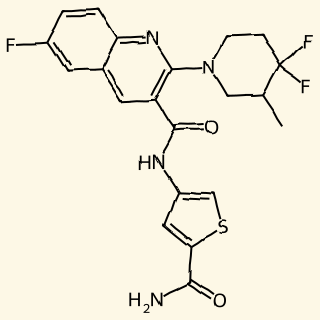 CC1CN(c2nc3ccc(F)cc3cc2C(=O)Nc2csc(C(N)=O)c2)CCC1(F)F